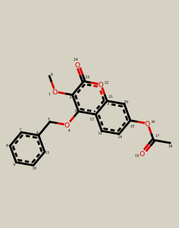 COc1c(OCc2ccccc2)c2ccc(OC(C)=O)cc2oc1=O